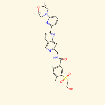 Cc1cc(F)c(C(=O)NCc2cc3nc(-c4cccc(N5C[C@@H](C)O[C@@H](C)C5)n4)ccc3cn2)cc1S(=O)(=O)CCO